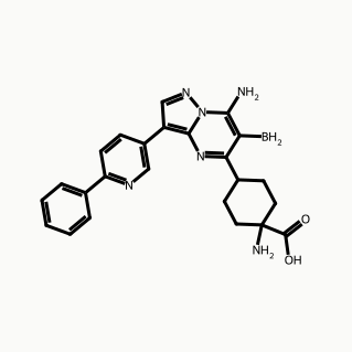 Bc1c(C2CCC(N)(C(=O)O)CC2)nc2c(-c3ccc(-c4ccccc4)nc3)cnn2c1N